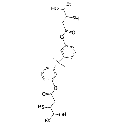 CCC(O)C(S)CC(=O)Oc1cccc(C(C)(C)c2cccc(OC(=O)CC(S)C(O)CC)c2)c1